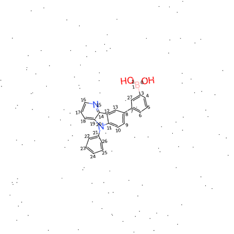 OB(O)c1cccc(-c2ccc3c(c2)c2ncccc2n3-c2ccccc2)c1